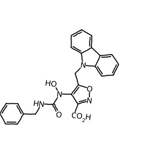 O=C(O)c1noc(Cn2c3ccccc3c3ccccc32)c1N(O)C(=O)NCc1ccccc1